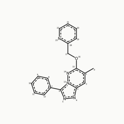 Cc1cc2nnc(-c3ccccc3)n2nc1OCc1ccccn1